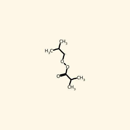 CC(C)[CH]OOC(=O)C(C)C